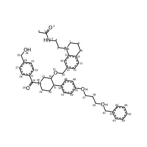 CC(=O)NCCN1CCCc2ccc(COC3CN(C(=O)c4ccc(CO)cc4)CCC3c3ccc(OCCCOCc4ccccc4)cc3)cc21